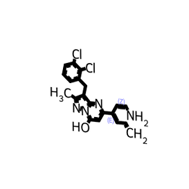 C=C/C=C(\C=C/N)c1cc(O)n2nc(C)c(Cc3cccc(Cl)c3Cl)c2n1